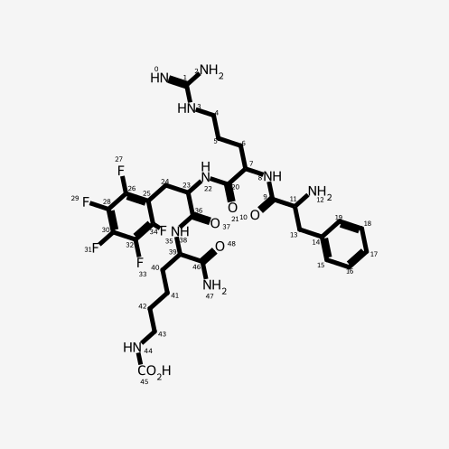 N=C(N)NCCCC(NC(=O)C(N)Cc1ccccc1)C(=O)NC(Cc1c(F)c(F)c(F)c(F)c1F)C(=O)NC(CCCCNC(=O)O)C(N)=O